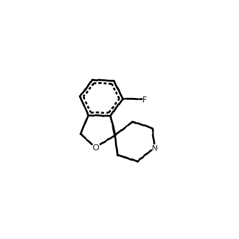 Fc1cccc2c1C1(CC[N]CC1)OC2